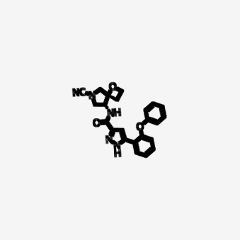 N#CN1C[C@@H](NC(=O)c2cc(-c3ccccc3Oc3ccccc3)[nH]n2)[C@]2(CCO2)C1